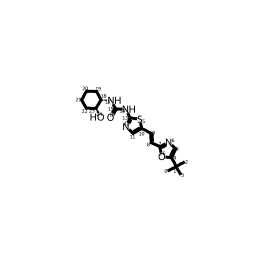 CC(C)(C)c1cnc(/C=C/c2cnc(NC(=O)N[C@H]3CCCC[C@@H]3O)s2)o1